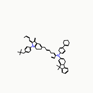 C=C/C(=C\C/C=C/CC1=Cc2c(n(-c3ccc(CC(C)(C)C)cc3)/c(=C/C=C\C)c2=C)CC1)N(C1=CCC2C(=C1)C(C)(C)c1ccccc12)C1C=CC(C2=CCCCC2)=CC1